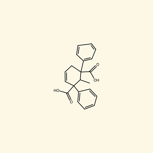 CC1C(C(=O)O)(c2ccccc2)C=CCC1(C(=O)O)c1ccccc1